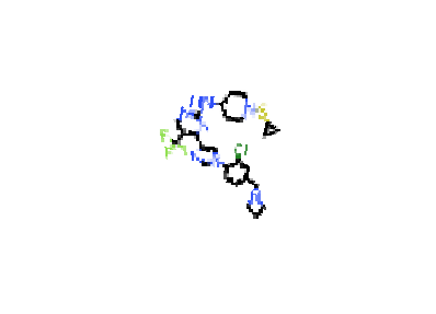 FC(F)(F)c1cnc(NC2CCN(SC3CC3)CC2)nc1-c1cn(-c2ccc(CN3CCC3)cc2Cl)cn1